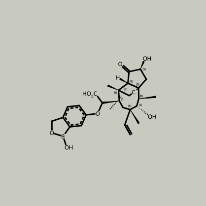 C=C[C@]1(C)C[C@@H](C(Oc2ccc3c(c2)B(O)OC3)C(=O)O)[C@@]2(C)[C@H](C)CC[C@]3(C[C@H](O)C(=O)[C@H]32)[C@@H](C)[C@@H]1O